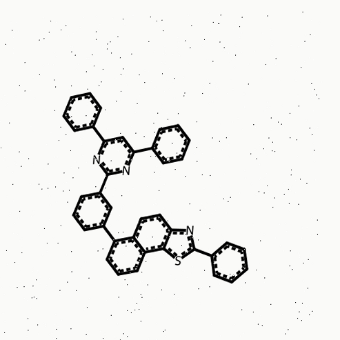 c1ccc(-c2cc(-c3ccccc3)nc(-c3cccc(-c4cccc5c4ccc4nc(-c6ccccc6)sc45)c3)n2)cc1